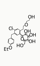 CCOc1ccc(Cc2cc([C@@H]3O[C@H](CO)[C@@H](O)[C@H](O)[C@H]3O)c(CCOCCO)cc2Cl)cc1